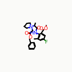 COC(=O)c1cc(F)cc(C)c1NC(=O)C(C)[N+]1(CC(=O)OCc2ccccc2)CCCC1